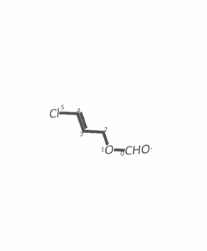 O=[C]OC/C=C/Cl